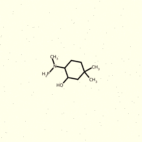 CN(P)C1CCC(C)(C)CC1O